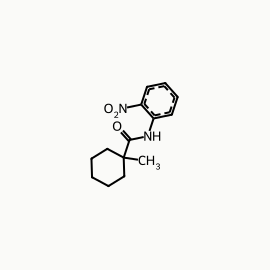 CC1(C(=O)Nc2ccccc2[N+](=O)[O-])CCCCC1